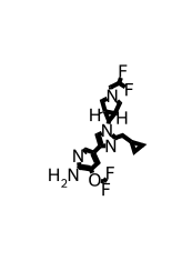 Nc1ncc(-c2cn(C3[C@H]4CN(CC(F)F)C[C@@H]34)c(CC3CC3)n2)cc1OC(F)F